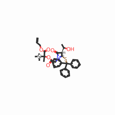 C=CCOC(=O)C(C)(OC(=O)CN1C(=O)[C@@H](C(C)O)[C@H]1SC(c1ccccc1)(c1ccccc1)c1ccccc1)[Si](C)(C)C